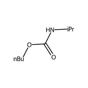 CCCCOC(=O)NC(C)C